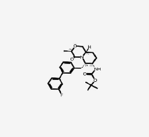 C[C@H]1OC[C@@H]2CC[C@H](NC(=O)OC(C)(C)C)[C@H](Cc3cccc(-c4cccc(F)c4)c3)N2C1=O